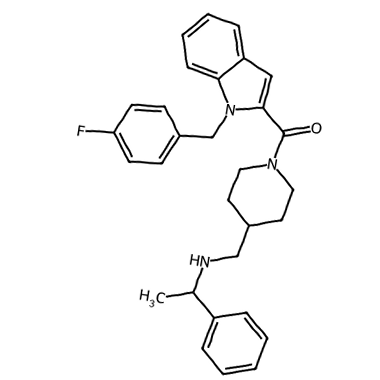 CC(NCC1CCN(C(=O)c2cc3ccccc3n2Cc2ccc(F)cc2)CC1)c1ccccc1